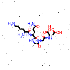 C[C@H](NC(=O)[C@H](CCC(N)=O)NC(=O)[C@@H](N)CCCCN)C(=O)NCC(=O)N[C@@H](CC(=O)O)C(=O)O